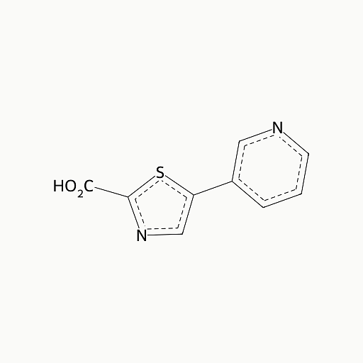 O=C(O)c1ncc(-c2cccnc2)s1